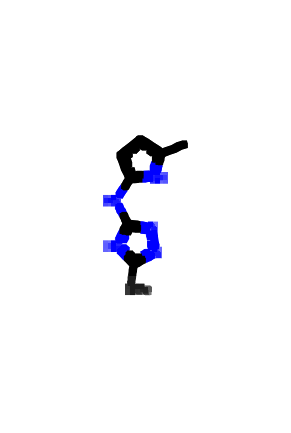 CNc1nnc(Nc2ccc(C)[nH]2)[nH]1